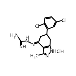 Cc1n[nH]c2c1C(=NNC(=N)N)CC(c1cc(Cl)ccc1Cl)C2.Cl